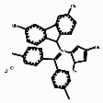 Cc1ccc([C](c2ccc(C)cc2)=[Zr+2]([C]2=CC(C(C)(C)C)=CC2C(C)C)[CH]2c3ccc(C(C)(C)C)cc3-c3cc(C(C)(C)C)ccc32)cc1.[Cl-].[Cl-]